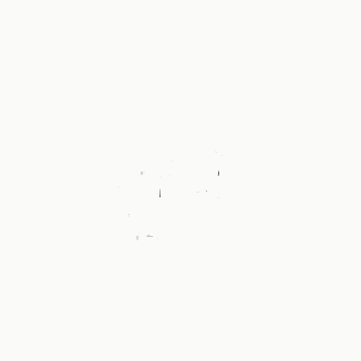 CCCCCC(=O)O[C@]1(C(=O)CCl)CC[C@H]2C3=C([C@@H](O)C[C@@]21C)[C@@]1(C)C=CC(=O)C=C1CC3